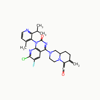 C=C1CCC2CN(c3nc(=O)n(-c4c(C)ccnc4C(C)C)c4nc(Cl)c(F)cc34)CCN2C1=C=O